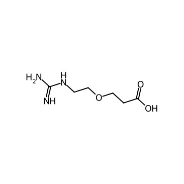 N=C(N)NCCOCCC(=O)O